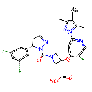 Cc1nn(-c2cc(OC3CN(C(=O)N4N=CC[C@H]4c4cc(F)cc(F)c4)C3)c(F)cn2)c(C)[c]1[Na].O=CO